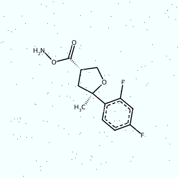 C[C@]1(c2ccc(F)cc2F)C[C@H](C(=O)ON)CO1